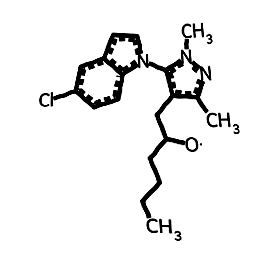 CCCCC([O])Cc1c(C)nn(C)c1-n1ccc2cc(Cl)ccc21